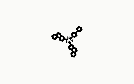 c1ccc(-c2ccc(-c3nc(-c4ccc5c(ccc6ccccc65)c4)nc(-c4ccc5c(ccc6ccccc65)c4)n3)cc2)cc1